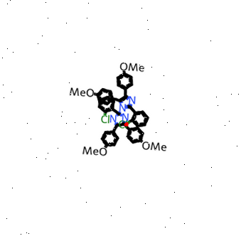 COc1ccc(C2=NC(c3ccccc3Cl)(n3c(-c4ccccc4Cl)nc(-c4ccc(OC)cc4)c3-c3ccc(OC)cc3)N=C2c2ccc(OC)cc2)cc1